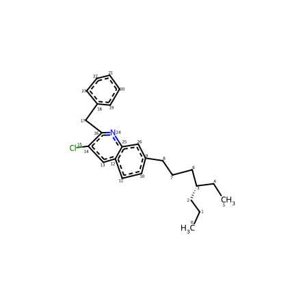 CCC[C@@H](CC)CCCc1ccc2cc(Cl)c(Cc3ccccc3)nc2c1